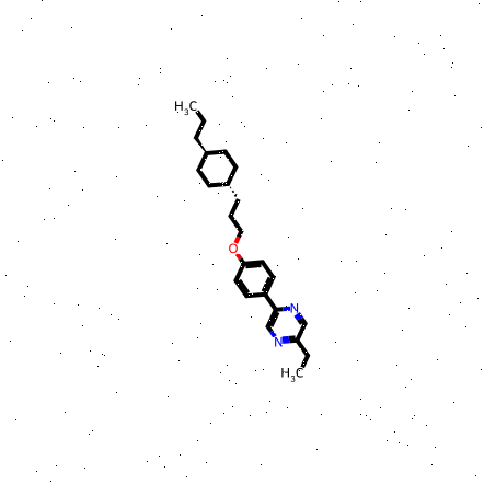 CCC[C@H]1CC[C@H](CCCOc2ccc(-c3cnc(CC)cn3)cc2)CC1